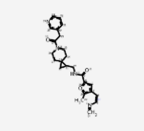 C=N/C=C\c1cc(C(=O)NCC2CC23CCN(C(=O)Cc2cccnc2)CC3)oc1C